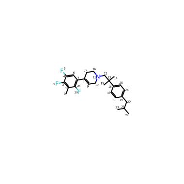 Cc1c(F)c(F)cc(C2=CCN(CC(C)(C)c3ccc(CC(C)C)cc3)CC2)c1F